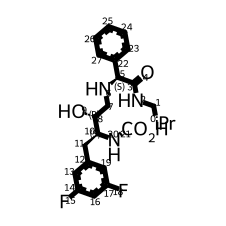 CC(C)CNC(=O)[C@@H](NC[C@@H](O)[C@H](Cc1cc(F)cc(F)c1)NC(=O)O)c1ccccc1